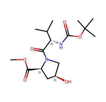 COC(=O)[C@@H]1C[C@H](O)CN1C(=O)[C@@H](NC(=O)OC(C)(C)C)C(C)C